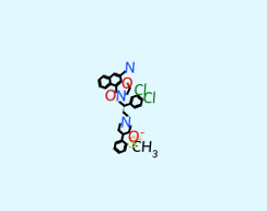 C[S@+]([O-])c1ccccc1C1CCN(CC[C@H](CN2CCOc3c(C#N)cc4ccccc4c3C2=O)c2ccc(Cl)c(Cl)c2)CC1